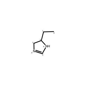 CCC1CN=[C]N1